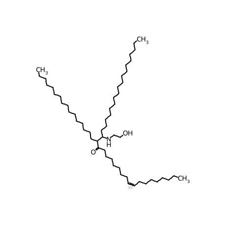 CCCCCCCC/C=C\CCCCCCCC(=O)C(CCCCCCCCCCCCCCCC)C(CCCCCCCCCCCCCCCCCC)NCCO